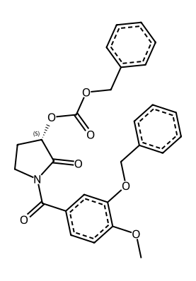 COc1ccc(C(=O)N2CC[C@H](OC(=O)OCc3ccccc3)C2=O)cc1OCc1ccccc1